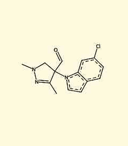 CC1=NN(C)CC1(C=O)n1ccc2ccc(Cl)cc21